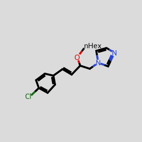 CCCCCCOC(C=Cc1ccc(Cl)cc1)Cn1ccnc1